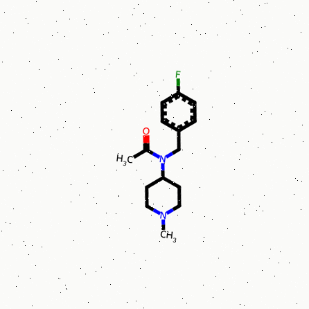 CC(=O)N(Cc1ccc(F)cc1)C1CCN(C)CC1